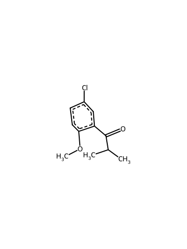 COc1ccc(Cl)cc1C(=O)C(C)C